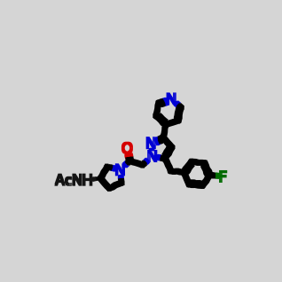 CC(=O)N[C@@H]1CCN(C(=O)Cn2nc(-c3ccncc3)cc2Cc2ccc(F)cc2)C1